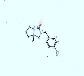 CC12CCCN1C(=O)N(Cc1ccc(Cl)cc1)C2